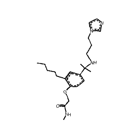 CCCCCc1cc(C(C)(C)NCCCn2ccnc2)ccc1OCC(=O)NC